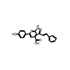 O=C(O)c1cc(-c2ccc(O)cc2)nc2[nH]nc(C=Cc3ccccc3)c12